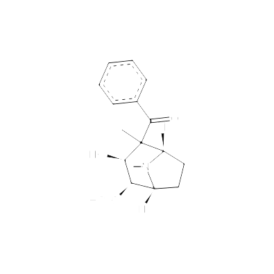 CN1[C@@H]2CC[C@H]1C(C)(C(=O)c1ccccc1)[C@H](O)[C@@H]2C(=O)O